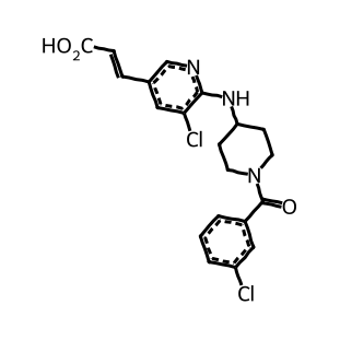 O=C(O)C=Cc1cnc(NC2CCN(C(=O)c3cccc(Cl)c3)CC2)c(Cl)c1